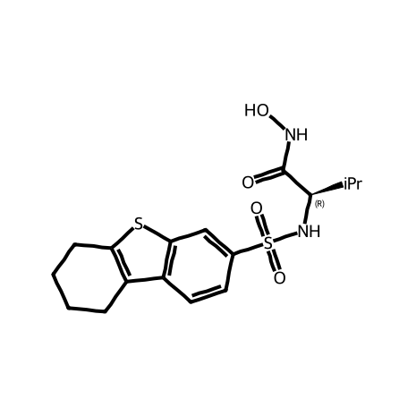 CC(C)[C@@H](NS(=O)(=O)c1ccc2c3c(sc2c1)CCCC3)C(=O)NO